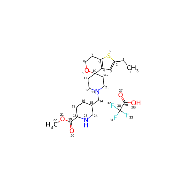 CCc1cc2c(s1)CCOC21CCN(CC2CCC(C(=O)OC)NC2)CC1.O=C(O)C(F)(F)F